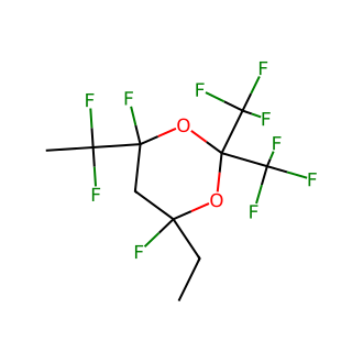 CCC1(F)CC(F)(C(C)(F)F)OC(C(F)(F)F)(C(F)(F)F)O1